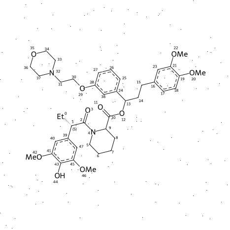 CC[C@H](C(=O)N1CCCCC1C(=O)OC(CCc1ccc(OC)c(OC)c1)c1cccc(OCCN2CCOCC2)c1)c1cc(OC)c(O)c(OC)c1